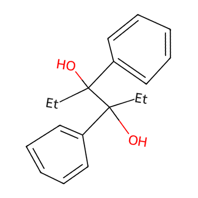 CCC(O)(c1ccccc1)C(O)(CC)c1ccccc1